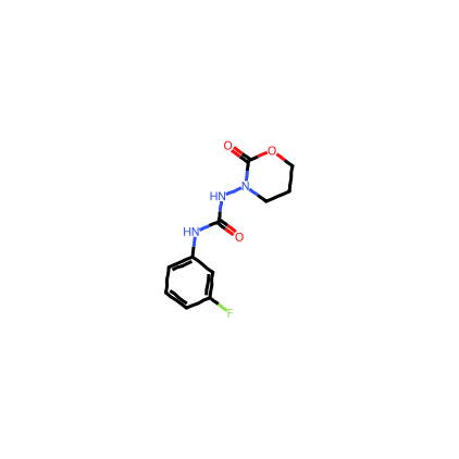 O=C(Nc1cccc(F)c1)NN1CCCOC1=O